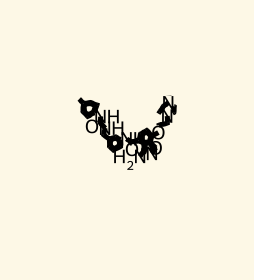 Cc1ccc(NC(=O)NCc2cccc(NC(=O)c3ccc(OCCN4CCN(C)CC4)c4onc(N)c34)c2)cc1